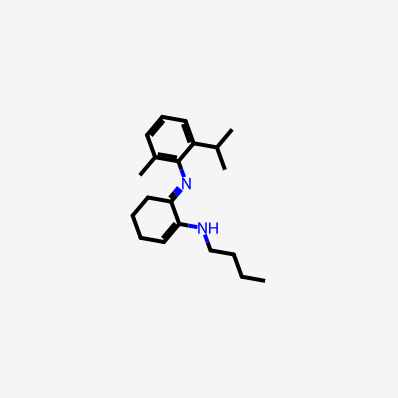 CCCCNC1=CCCC/C1=N\c1c(C)cccc1C(C)C